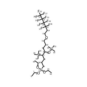 CCO[Si](CCCC(C(CCCOCCC(F)(F)C(F)(F)C(F)(F)C(F)(F)F)O[Si](C)(C)C)[Si](C)(C)C)(OCC)OCC